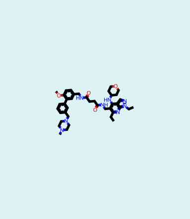 CCc1nc2c(cnn2CC)c(NC2CCOCC2)c1CNC(=O)CCC(=O)NCc1ccc(OC)c(-c2cccc(CN3CCN(C)CC3)c2)c1